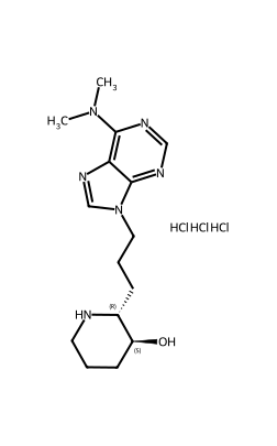 CN(C)c1ncnc2c1ncn2CCC[C@H]1NCCC[C@@H]1O.Cl.Cl.Cl